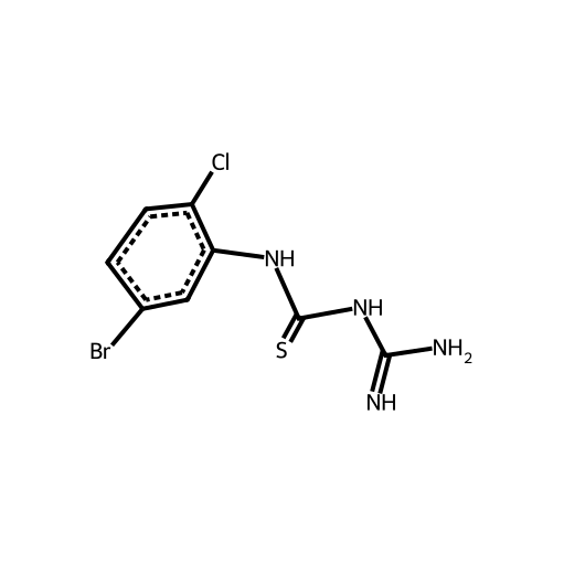 N=C(N)NC(=S)Nc1cc(Br)ccc1Cl